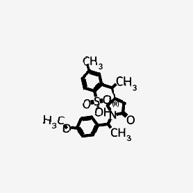 COc1ccc(C(C)N2C[C@@H](C(C)c3cc(C)ccc3S(=O)(=O)O)CC2=O)cc1